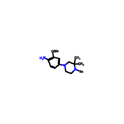 COc1cc(N2CCN(C(C)=O)C(C)(C)C2)ccc1N